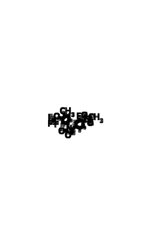 Cc1ccc(-n2c(-c3ccc(S(C)(=O)=O)c(F)c3)coc2=O)cc1OC(F)(F)F